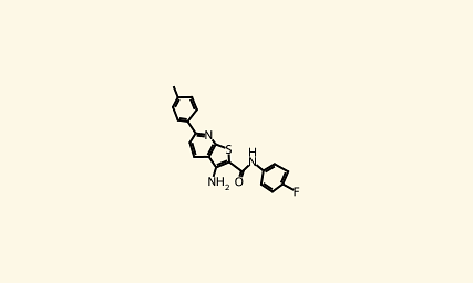 Cc1ccc(-c2ccc3c(N)c(C(=O)Nc4ccc(F)cc4)sc3n2)cc1